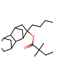 CCCCC1(OC(=O)C(C)(C)CC)CC2CC1C1C3CCC(C3)C21